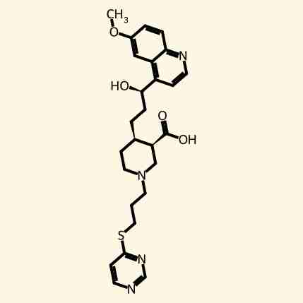 COc1ccc2nccc([C@H](O)CC[C@@H]3CCN(CCCSc4ccncn4)C[C@@H]3C(=O)O)c2c1